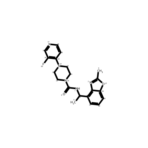 Cc1nc2c(C(C)NC(=O)N3CCN(c4ccncc4F)CC3)cccc2o1